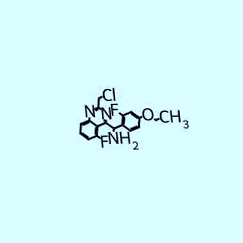 CCOc1ccc(C(N)c2nc(CCl)nc3cccc(F)c23)c(F)c1